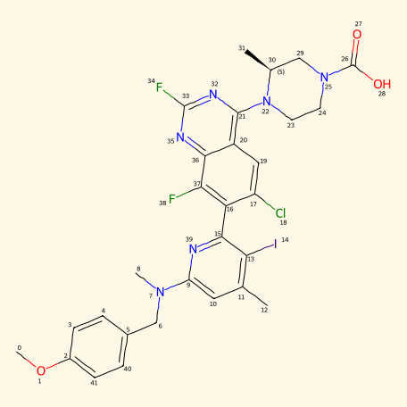 COc1ccc(CN(C)c2cc(C)c(I)c(-c3c(Cl)cc4c(N5CCN(C(=O)O)C[C@@H]5C)nc(F)nc4c3F)n2)cc1